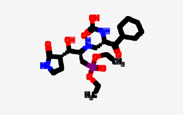 CCOP(=O)(C[C@@H](NC[C@H](NC(=O)O)C(=O)C1CCCCC1)C(O)[C@@H]1CCNC1=O)OCC